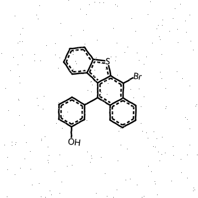 Oc1cccc(-c2c3ccccc3c(Br)c3sc4ccccc4c23)c1